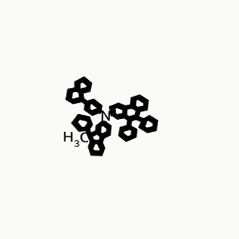 CC1(c2ccccc2)c2ccccc2-c2ccc(N(c3ccc(-c4cccc5ccccc45)cc3)c3ccc4c(c3)c(-c3ccccc3)c(-c3ccccc3)c3ccccc34)cc21